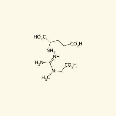 CN(CC(=O)O)C(=N)N.N[C@@H](CCC(=O)O)C(=O)O